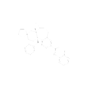 Cc1ncccc1NC(=O)c1ccc2c(c1)COC(O)[C@H]1CC3(CC[C@@]21Cc1ccccc1)OCCO3